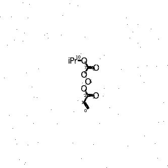 C=CC(=O)OOOC(=O)OC(C)C